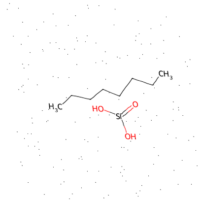 CCCCCCCC.O=[Si](O)O